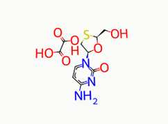 Nc1ccn([C@H]2CS[C@@H](CO)O2)c(=O)n1.O=C(O)C(=O)O